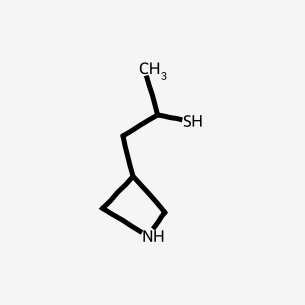 CC(S)CC1CNC1